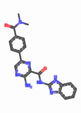 CN(C)C(=O)c1ccc(-c2cnc(N)c(C(=O)Nc3nc4ccccc4[nH]3)n2)cc1